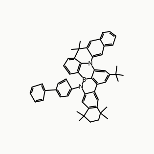 CC(C)(C)c1cc2c3c(c1)N1c4cc5ccccc5cc4C(C)(C)c4cccc(c41)B3N(c1ccc(-c3ccccc3)cc1)c1cc3c(cc1-2)C(C)(C)CCC3(C)C